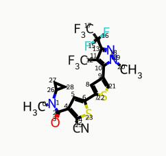 CN(C(=O)c1cc(-c2cc(-c3c(C(F)(F)F)c(C(F)(F)C(F)(F)F)nn3C)cs2)sc1C#N)C1CC1